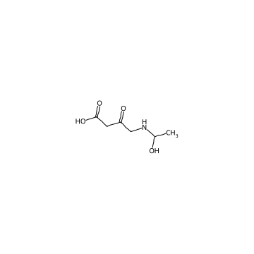 CC(O)NCC(=O)CC(=O)O